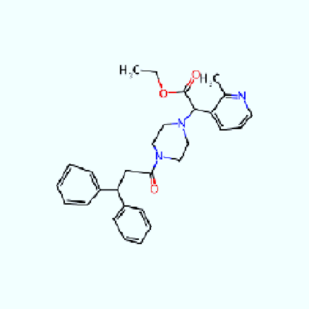 CCOC(=O)C(c1cccnc1C)N1CCN(C(=O)CC(c2ccccc2)c2ccccc2)CC1